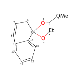 CCOC1(OCOC)CC=Cc2ccccc21